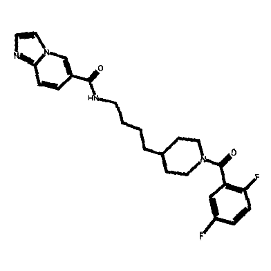 O=C(NCCCCC1CCN(C(=O)c2cc(F)ccc2F)CC1)c1ccc2nccn2c1